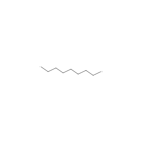 [CH]CCCCCCC[CH2]